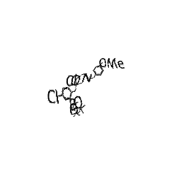 COc1ccc(CN2CCOC(Cc3c(Cl)cc(Cl)cc3B3OC(C)(C)C(C)(C)O3)C2)cc1